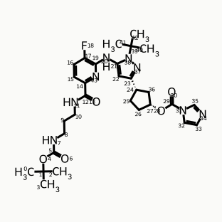 CC(C)(C)OC(=O)NCCCNC(=O)c1ccc(F)c(Nc2cc([C@H]3CC[C@@H](OC(=O)n4ccnc4)C3)nn2C(C)(C)C)n1